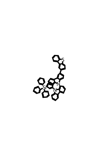 c1ccc([Si](c2ccccc2)(c2ccccc2)c2cccc(-n3c4ccccc4c4cccc(-n5c6ccccc6c6cc(-c7ccc8sc9ccccc9c8c7)ccc65)c43)c2)cc1